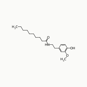 CCCCCCCCCC(=O)NCCc1ccc(O)c(OC)c1